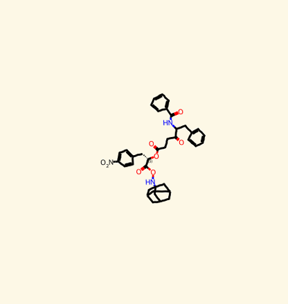 O=C(CCC(=O)C(Cc1ccccc1)NC(=O)c1ccccc1)O[C@@H](Cc1ccc([N+](=O)[O-])cc1)C(=O)ONC12CC3CC(CC(C3)C1)C2